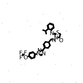 CC(C)c1ccccc1N=C1SCC(=O)N1N=CC1CC=C(c2ncn(-c3ccc(OC(F)(F)F)cc3)n2)CC1